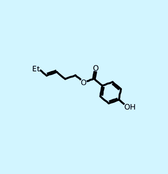 CCC=CCCOC(=O)c1ccc(O)cc1